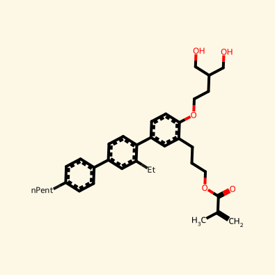 C=C(C)C(=O)OCCCc1cc(-c2ccc(-c3ccc(CCCCC)cc3)cc2CC)ccc1OCCC(CO)CO